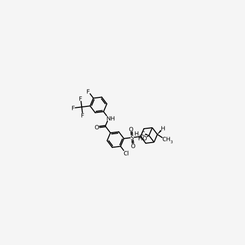 C[C@H]1C2CC(S(=O)(=O)c3cc(C(=O)Nc4ccc(F)c(C(F)(F)F)c4)ccc3Cl)CC1[C@]2(C)O